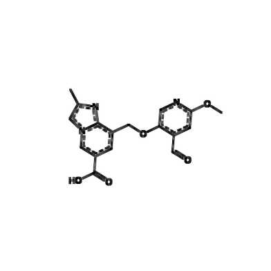 COc1cc(C=O)c(OCc2cc(C(=O)O)cn3cc(C)nc23)cn1